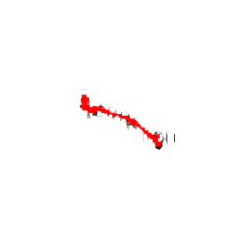 Cc1cc(C(=O)N2CCC(COC(=O)NCCOCCOCCOCCn3cc(CCCCCCCCC(=O)N[C@@H](CO)C[C@H](O)c4ccccc4)nn3)CC2)c(C)n1-c1ccc(F)cc1